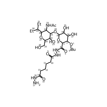 CCC(C)OC1C(C(=O)NNC(=O)CCCCC(=O)NN)OC(OC2C(O)C(CO)OC(C(CC)CC)C2NC(C)=O)C(O)C1O